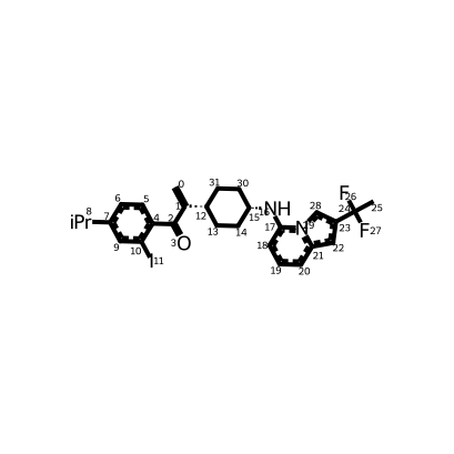 C=C(C(=O)c1ccc(C(C)C)cc1I)[C@H]1CC[C@@H](Nc2cccc3cc(C(C)(F)F)cn23)CC1